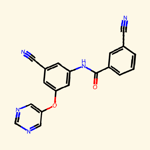 N#Cc1cc(NC(=O)c2cccc(C#N)c2)cc(Oc2cncnc2)c1